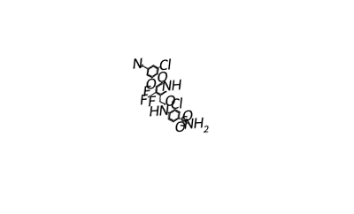 N#Cc1cc(Cl)cc(Oc2c(C(F)(F)F)c(CC(=O)Nc3ccc(S(N)(=O)=O)cc3Cl)c[nH]c2=O)c1